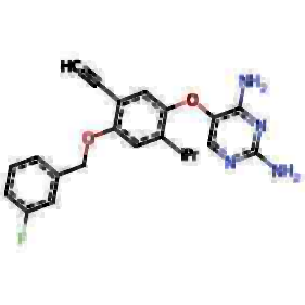 C#Cc1cc(Oc2cnc(N)nc2N)c(C(C)C)cc1OCc1cccc(F)c1